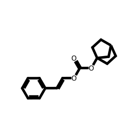 O=C(OC=Cc1ccccc1)OC12CCC(CC1)C2